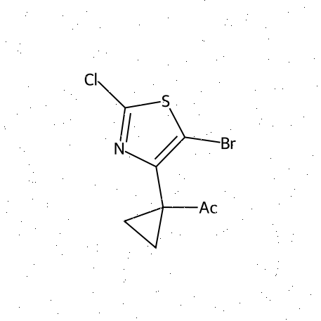 CC(=O)C1(c2nc(Cl)sc2Br)CC1